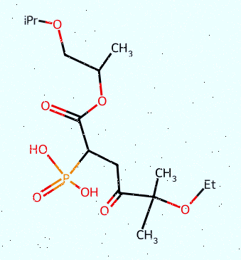 CCOC(C)(C)C(=O)CC(C(=O)OC(C)COC(C)C)P(=O)(O)O